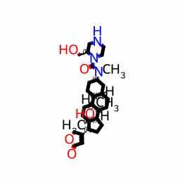 CN(C(=O)N1CCNC[C@@H]1CO)[C@H]1CC[C@@]2(C)[C@H](CC[C@@H]3[C@@H]2CC[C@]2(C)[C@@H](C4=CC(=O)OC4)CC[C@]32O)C1